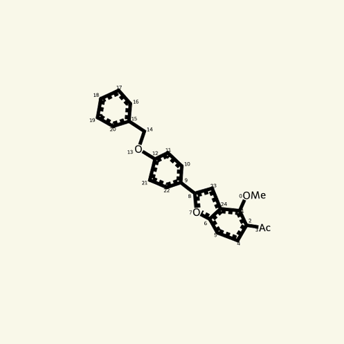 COc1c(C(C)=O)ccc2oc(-c3ccc(OCc4ccccc4)cc3)cc12